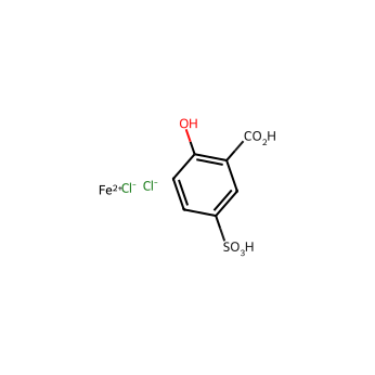 O=C(O)c1cc(S(=O)(=O)O)ccc1O.[Cl-].[Cl-].[Fe+2]